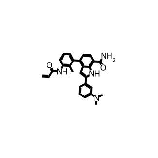 C=CC(=O)Nc1cccc(-c2ccc(C(N)=O)c3[nH]c(-c4cccc(N(C)C)c4)cc23)c1C